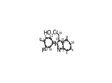 Cc1ccc(-n2nc3ccccc3c2CC(=O)O)cc1F